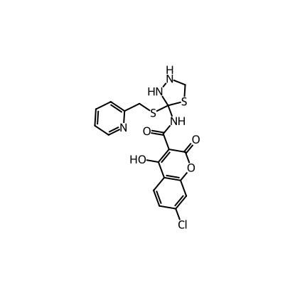 O=C(NC1(SCc2ccccn2)NNCS1)c1c(O)c2ccc(Cl)cc2oc1=O